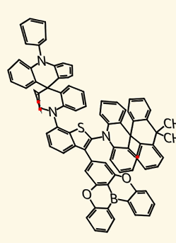 CC1(C)c2ccccc2C2(c3ccccc3N(c3sc4c(N5c6ccccc6C6(c7ccccc7N(c7ccccc7)c7ccccc76)c6ccccc65)cccc4c3-c3cc4c5c(c3)Oc3ccccc3B5c3ccccc3O4)c3ccccc32)c2ccccc21